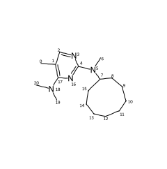 Cc1cnc(N(C)C2CCCCCCCC2)nc1N(C)C